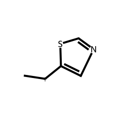 C[CH]c1cncs1